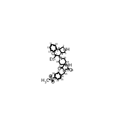 CCC(=O)C([C@@H]1CNC[C@@H]1c1ccccc1)N1CCC2(CC1)NC(=O)N(Cc1ccc(S(C)(=O)=O)cc1)C2=O